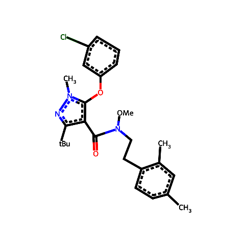 CON(CCc1ccc(C)cc1C)C(=O)c1c(C(C)(C)C)nn(C)c1Oc1cccc(Cl)c1